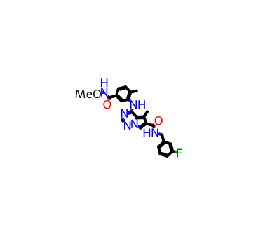 CONC(=O)c1ccc(C)c(Nc2ncnn3cc(C(=O)NCc4cccc(F)c4)c(C)c23)c1